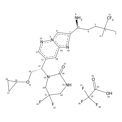 CC(C)(CC[C@H](N)c1cn2ncc([C@@H](COC3CC3)N3CC(F)(F)CNC3=O)cc2n1)C(F)(F)F.O=C(O)C(F)(F)F